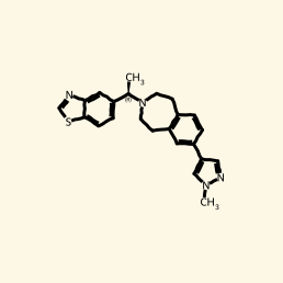 C[C@H](c1ccc2scnc2c1)N1CCc2ccc(-c3cnn(C)c3)cc2CC1